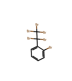 Brc1ccccc1C(Br)(Br)C(Br)(Br)Br